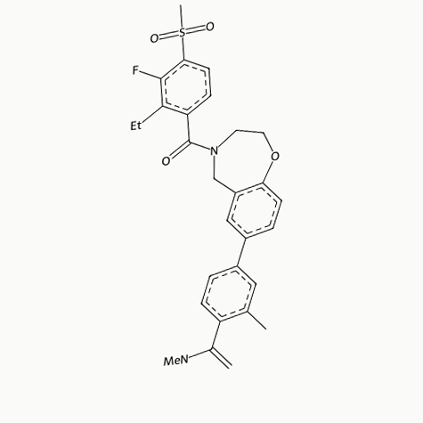 C=C(NC)c1ccc(-c2ccc3c(c2)CN(C(=O)c2ccc(S(C)(=O)=O)c(F)c2CC)CCO3)cc1C